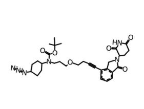 CC(C)(C)OC(=O)N(CCCOCCC#Cc1cccc2c1CN(C1CCC(=O)NC1=O)C2=O)C1CCC(N=[N+]=[N-])CC1